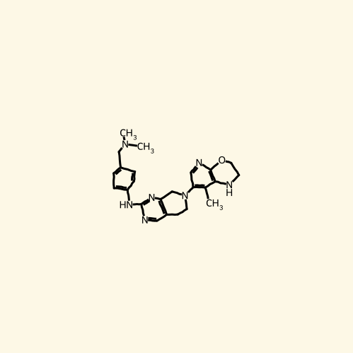 Cc1c(N2CCc3cnc(Nc4ccc(CN(C)C)cc4)nc3C2)cnc2c1NCCO2